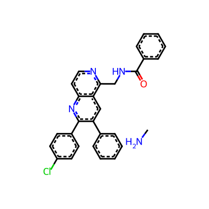 CN.O=C(NCc1nccc2nc(-c3ccc(Cl)cc3)c(-c3ccccc3)cc12)c1ccccc1